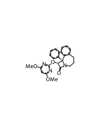 COc1cc(OC)nc(O[C@@H]2C(=O)N3CCCc4ccccc4[C@@]23c2ccccc2)n1